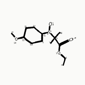 CCOC(=O)C(C)(C)[S+]([O-])C1CCC(OC)CC1